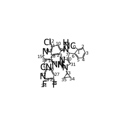 N#Cc1ccccc1C(Nc1cc(Cl)c2ncc(C#N)c(Nc3cnc(F)c(F)c3)c2c1)c1cn(C2CC2)nn1